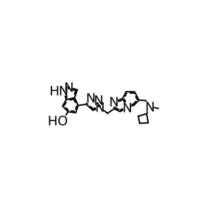 CN(Cc1ccc2nc(Cn3cc(-c4cc(O)cc5[nH]ncc45)nn3)cn2c1)C1CCC1